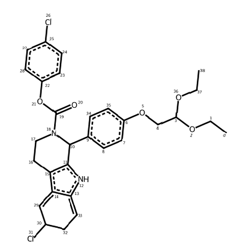 CCOC(COc1ccc(C2c3[nH]c4c(c3CCN2C(=O)Oc2ccc(Cl)cc2)=CC(Cl)CC=4)cc1)OCC